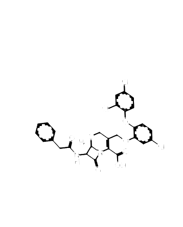 O=C(Cc1ccccc1)NC1C(=O)N2C(C(=O)O)=C(COc3cc(Cl)ccc3Oc3ccc(Cl)cc3Cl)CS[C@H]12